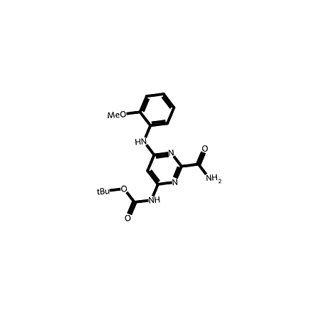 COc1ccccc1Nc1cc(NC(=O)OC(C)(C)C)nc(C(N)=O)n1